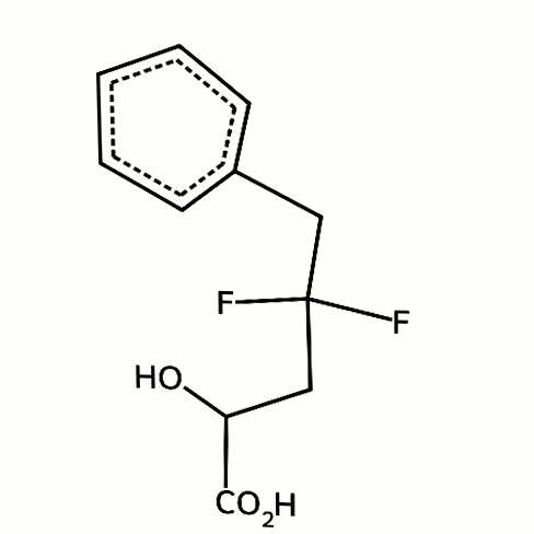 O=C(O)C(O)CC(F)(F)Cc1ccccc1